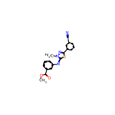 COC(=O)c1cccc(/N=c2/sc(-c3cccc(C#N)c3)nn2C)c1